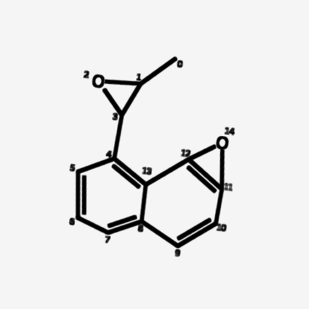 CC1OC1c1cccc2ccc3c(c12)O3